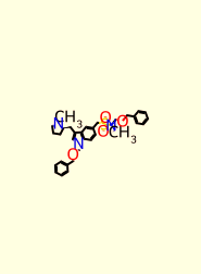 CN1CCC[C@@H]1Cc1cn(COCc2ccccc2)c2ccc(CS(=O)(=O)N(C)COCc3ccccc3)cc12